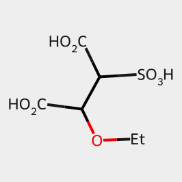 CCOC(C(=O)O)C(C(=O)O)S(=O)(=O)O